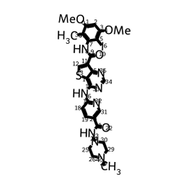 COc1cc(OC)c(I)c(NC(=O)c2csc3c(Nc4ccc(C(=O)NN5CCN(C)CC5)cn4)ncnc23)c1C